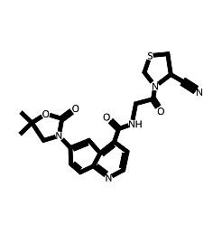 CC1(C)CN(c2ccc3nccc(C(=O)NCC(=O)N4CSCC4C#N)c3c2)C(=O)O1